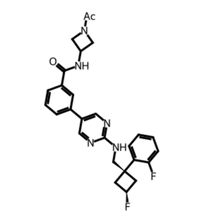 CC(=O)N1CC(NC(=O)c2cccc(-c3cnc(NC[C@]4(c5ccccc5F)C[C@H](F)C4)nc3)c2)C1